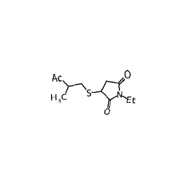 CCN1C(=O)CC(SCC(C)C(C)=O)C1=O